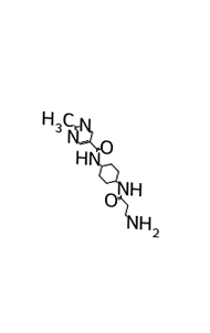 Cc1ncc(C(=O)NC2CCC(NC(=O)CCN)CC2)cn1